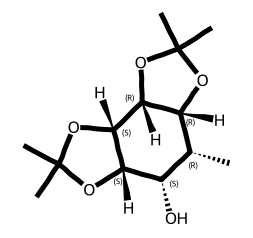 C[C@@H]1[C@H](O)[C@@H]2OC(C)(C)O[C@@H]2[C@@H]2OC(C)(C)O[C@H]12